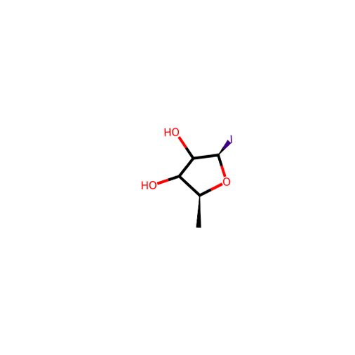 C[C@@H]1O[C@H](I)C(O)C1O